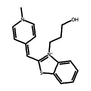 CN1C=CC(=Cc2sc3ccccc3[n+]2CCCO)C=C1